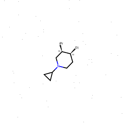 CC[C@H]1CCN(C2CC2)C[C@H]1C(C)C